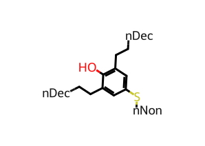 CCCCCCCCCCCCc1cc(SCCCCCCCCC)cc(CCCCCCCCCCCC)c1O